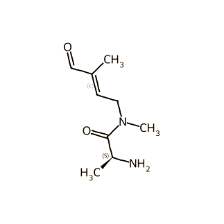 C/C(C=O)=C\CN(C)C(=O)[C@H](C)N